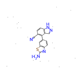 N#Cc1ccc2[nH]ncc2c1-c1ccc2nc(N)sc2c1